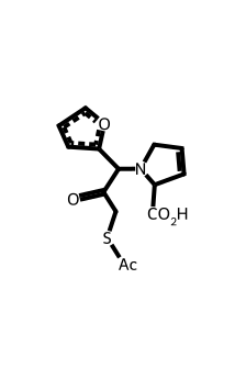 CC(=O)SCC(=O)C(c1ccco1)N1CC=CC1C(=O)O